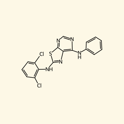 Clc1cccc(Cl)c1Nc1nc2c(Nc3ccccc3)ncnc2s1